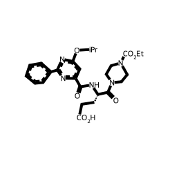 CCOC(=O)N1CCN(C(=O)[C@H](CCC(=O)O)NC(=O)c2cc(OC(C)C)nc(-c3ccccc3)n2)CC1